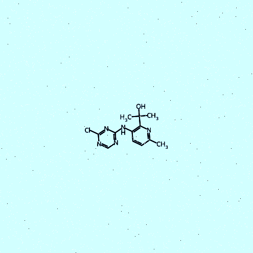 Cc1ccc(Nc2ncnc(Cl)n2)c(C(C)(C)O)n1